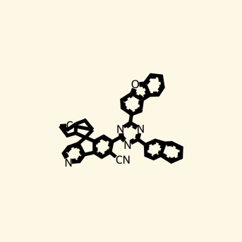 N#Cc1cc2c(cc1-c1nc(-c3ccc4ccccc4c3)nc(-c3ccc4oc5ccccc5c4c3)n1)C1(c3ccncc3-2)C2CC3CC(C2)C1C3